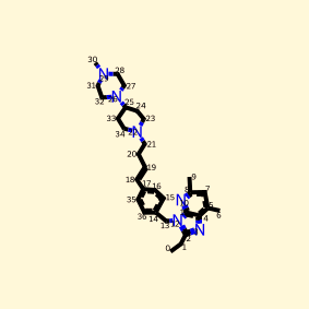 CCc1nc2c(C)cc(C)nc2n1Cc1ccc(C=CCCN2CCC(N3CCN(C)CC3)CC2)cc1